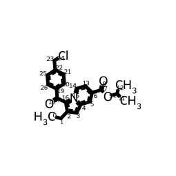 CCc1cc2cc(C(=O)OC(C)C)ccn2c1C(=O)c1ccc(CCl)cc1